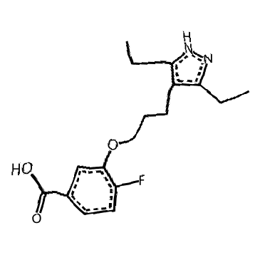 CCc1n[nH]c(CC)c1CCCOc1cc(C(=O)O)ccc1F